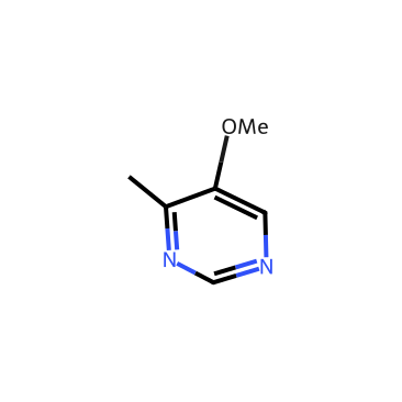 COc1cncnc1C